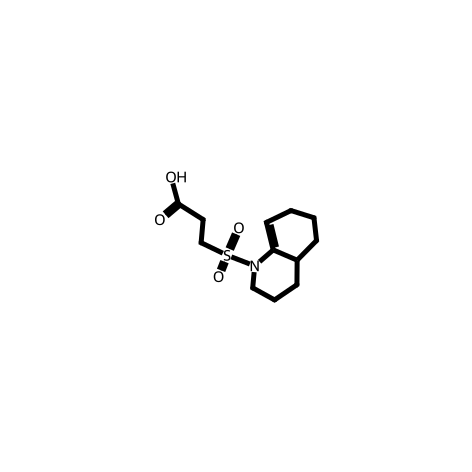 O=C(O)CCS(=O)(=O)N1CCCC2CCCC=C21